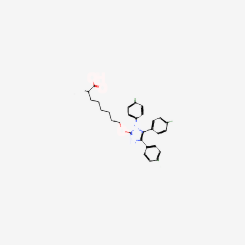 CC(CCCCCCOc1nc(-c2ccc(Cl)cc2)c(-c2ccc(Cl)cc2)n1-c1ccc(Cl)cc1)C(=O)O